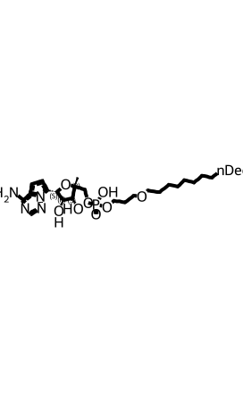 CCCCCCCCCCCCCCCCCCOCCCOP(=O)(O)OC[C@@]1(C)O[C@@H](c2ccc3c(N)ncnn23)[C@H](O)[C@@H]1O